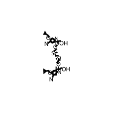 C[Si](C)(CCOCn1c(CO)nc2cc(OCC3CC3)c(C#N)cc21)CC[Si](C)(C)CCOCn1c(CO)nc2cc(C#N)c(OCC3CC3)cc21